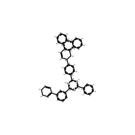 C1=CC(c2cccc(-c3nc(-c4ccccc4)nc(-c4ccc(C5C=Cc6c(c7ccccc7c7ccccc67)C5)cc4)n3)c2)=CCC1